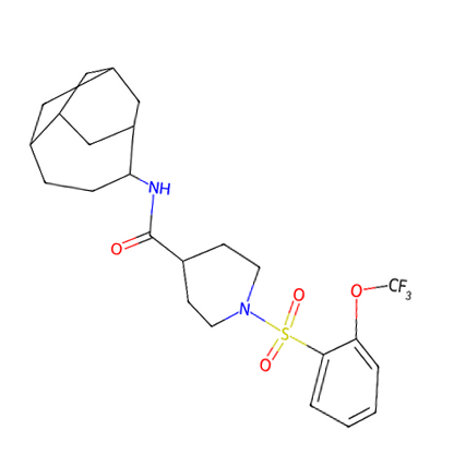 O=C(NC1CCC2CC3CC2CC1C3)C1CCN(S(=O)(=O)c2ccccc2OC(F)(F)F)CC1